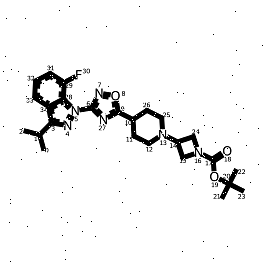 CC(C)c1nn(-c2noc(C3CCN(C4CN(C(=O)OC(C)(C)C)C4)CC3)n2)c2c(F)cccc12